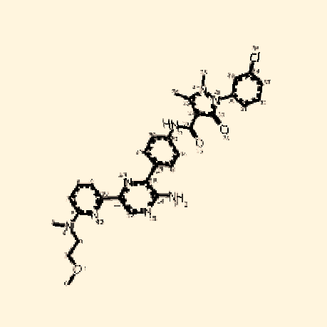 COCCN(C)c1cccc(-c2cnc(N)c(-c3ccc(NC(=O)c4c(C)n(C)n(-c5cccc(Cl)c5)c4=O)cc3)n2)n1